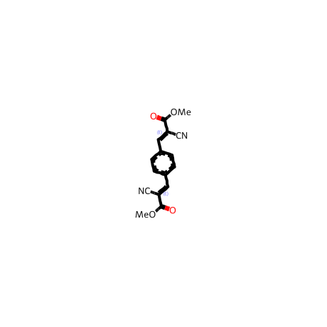 COC(=O)/C(C#N)=C/c1ccc(/C=C(\C#N)C(=O)OC)cc1